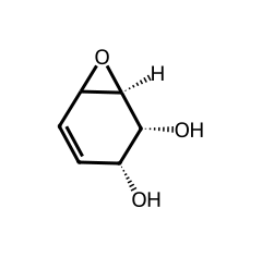 O[C@@H]1[C@H](O)C=CC2O[C@H]21